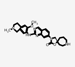 COc1cc2c(cc1Nc1ncc3ccc(N4C[C@]5(CCCNCC5)OC4=O)cc3n1)CN(C)CC2